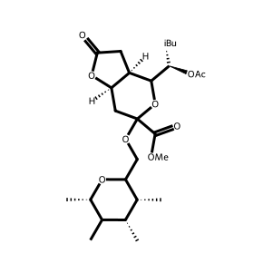 CC[C@@H](C)[C@@H](OC(C)=O)C1OC(OCC2O[C@@H](C)C(C)[C@@H](C)[C@H]2C)(C(=O)OC)C[C@H]2OC(=O)C[C@@H]12